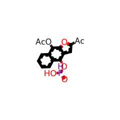 CC(=O)Oc1c2ccccc2c(O[PH](=O)O)c2cc(C(C)=O)oc12